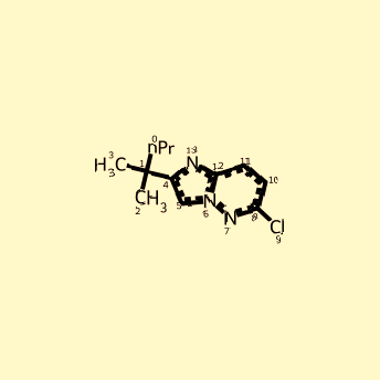 CCCC(C)(C)c1cn2nc(Cl)ccc2n1